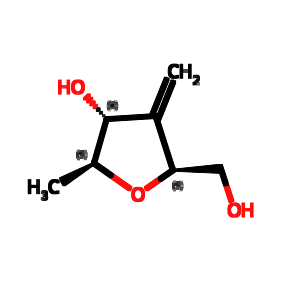 C=C1[C@@H](O)[C@H](C)O[C@@H]1CO